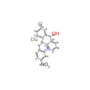 O=[N+]([O-])c1ccc(CC(c2ccc(Cl)cc2Cl)c2ncccc2CO)cc1